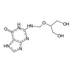 O=c1[nH]c(NCOC(CO)CO)nc2nc[nH]c12